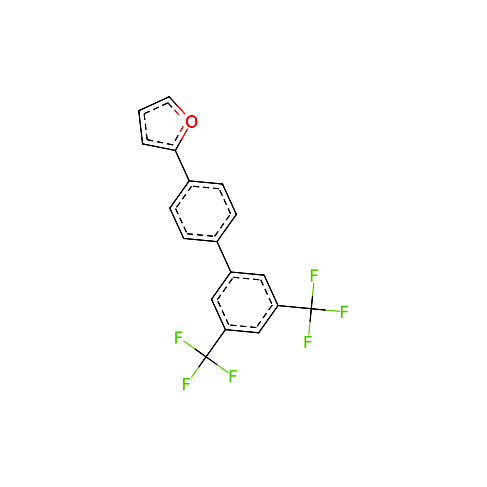 FC(F)(F)c1cc(-c2ccc(-c3ccco3)cc2)cc(C(F)(F)F)c1